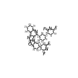 Fc1ccc(-c2cc(-c3ccc(F)nc3F)cc(-c3nc4ccccc4c4nc5oc6ccccc6n5c34)c2)c(F)n1